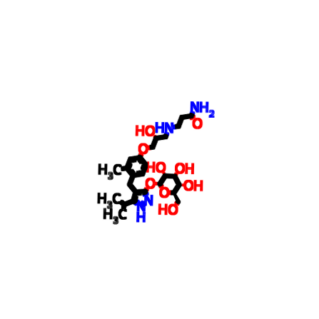 Cc1cc(OC[C@@H](O)CNCCC(N)=O)ccc1Cc1c(O[C@@H]2O[C@H](CO)[C@@H](O)[C@H](O)[C@H]2O)n[nH]c1C(C)C